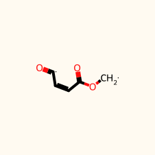 [CH2]OC(=O)/C=C\[C]=O